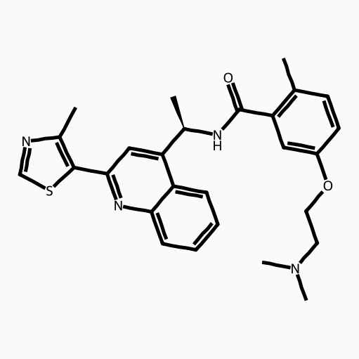 Cc1ccc(OCCN(C)C)cc1C(=O)N[C@H](C)c1cc(-c2scnc2C)nc2ccccc12